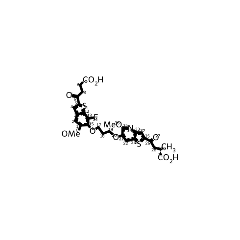 COc1cc2cc(C(=O)CCC(=O)O)sc2c(F)c1OCCCOc1cc2sc(C(=O)C[C@H](C)C(=O)O)cc2nc1OC